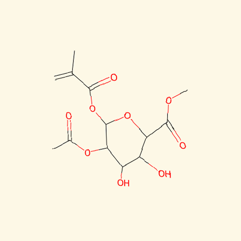 C=C(C)C(=O)OC1OC(C(=O)OC)C(O)C(O)C1OC(C)=O